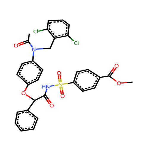 COC(=O)c1ccc(S(=O)(=O)NC(=O)C(Oc2ccc(N(Cc3c(Cl)cccc3Cl)C(C)=O)cc2)c2ccccc2)cc1